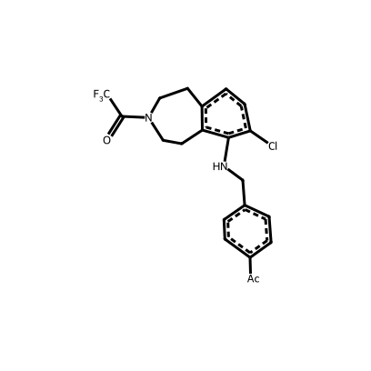 CC(=O)c1ccc(CNc2c(Cl)ccc3c2CCN(C(=O)C(F)(F)F)CC3)cc1